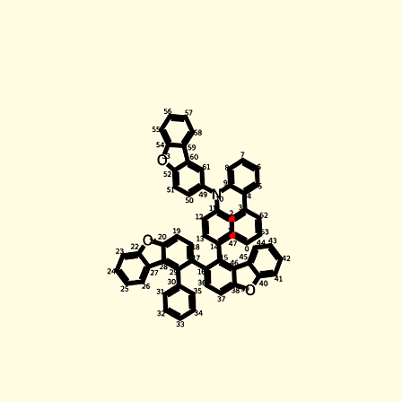 c1ccc(-c2ccccc2N(c2ccc(-c3c(-c4ccc5oc6ccccc6c5c4-c4ccccc4)ccc4oc5ccccc5c34)cc2)c2ccc3oc4ccccc4c3c2)cc1